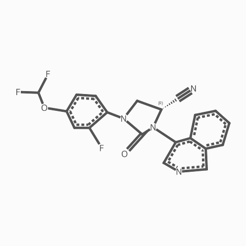 N#C[C@H]1CN(c2ccc(OC(F)F)cc2F)C(=O)N1c1cncc2ccccc12